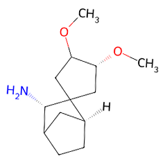 COC1CC2(C[C@H]1OC)[C@H]1CCC(C1)[C@@H]2N